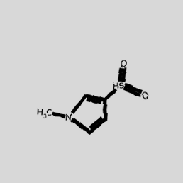 Cn1ccc([SH](=O)=O)c1